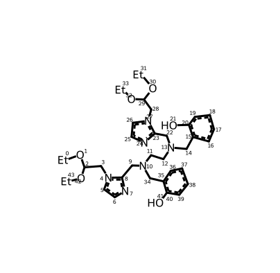 CCOC(Cn1ccnc1CN(CCN(Cc1ccccc1O)Cc1nccn1CC(OCC)OCC)Cc1ccccc1O)OCC